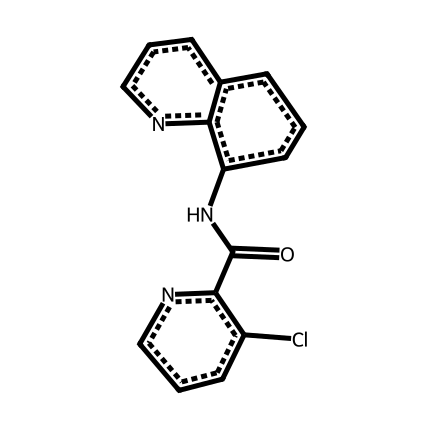 O=C(Nc1cccc2cccnc12)c1ncccc1Cl